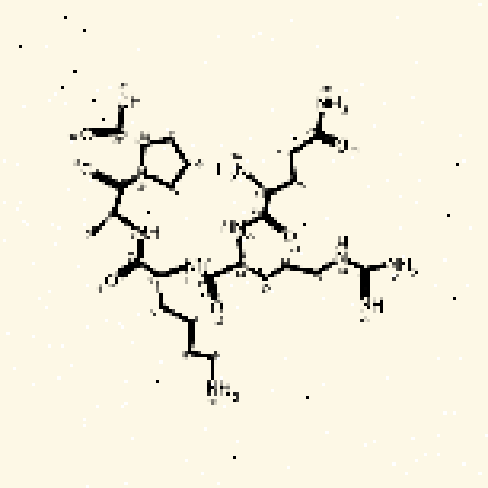 C[C@H](NC(=O)[C@H](CCCCN)NC(=O)[C@H](CCCNC(=N)N)NC(=O)[C@@H](N)CCC(N)=O)C(=O)N1CCC[C@H]1C(=O)O